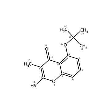 Cc1c(S)oc2cccc(OC(C)(C)C)c2c1=O